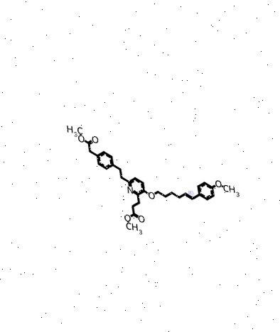 COC(=O)CCc1nc(CCc2ccc(CC(=O)OC)cc2)ccc1OCCCC/C=C/c1ccc(OC)cc1